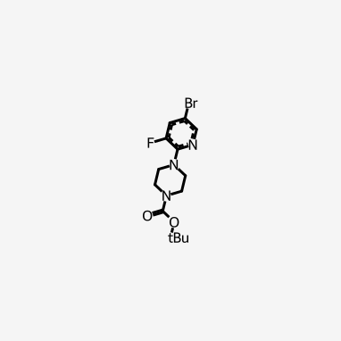 CC(C)(C)OC(=O)N1CCN(c2ncc(Br)cc2F)CC1